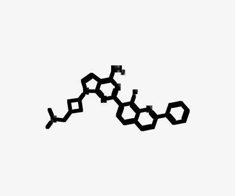 CN(C)CC1CC(n2ccc3c(N)nc(-c4ccc5ccc(-c6ccccc6)nc5c4F)nc32)C1